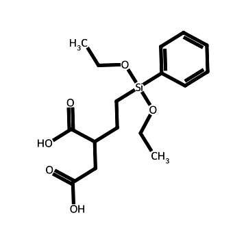 CCO[Si](CCC(CC(=O)O)C(=O)O)(OCC)c1ccccc1